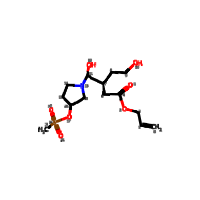 C=CCOC(=O)C[C@H](CCO)C(O)N1CCC(OS(C)(=O)=O)C1